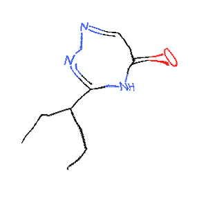 CCC(CC)c1nncc(=O)[nH]1